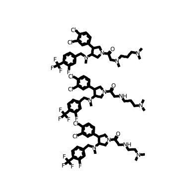 CN(C)CCCN(C)CC(=O)N1CC(c2ccc(Cl)c(Cl)c2)C(N(C)Cc2ccc(C(F)(F)F)c(F)c2)C1.CN(C)CCCNCC(=O)N1CC(c2ccc(Cl)c(Cl)c2)C(N(C)Cc2ccc(C(F)(F)F)c(F)c2)C1.CN(C)CCNCC(=O)N1CC(c2ccc(Cl)c(Cl)c2)C(N(C)Cc2ccc(C(F)(F)F)c(F)c2)C1